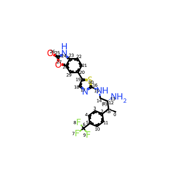 C[C@@H](c1ccc(C(F)(F)F)cc1)[C@@H](N)CNc1ncc(-c2ccc3[nH]c(=O)oc3c2)s1